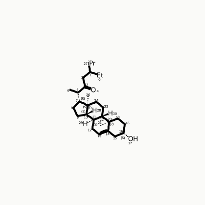 CCC(CC(=O)C(C)[C@H]1CC[C@H]2[C@@H]3CC=C4C[C@@H](O)CC[C@]4(C)[C@H]3CC[C@]12C)C(C)C